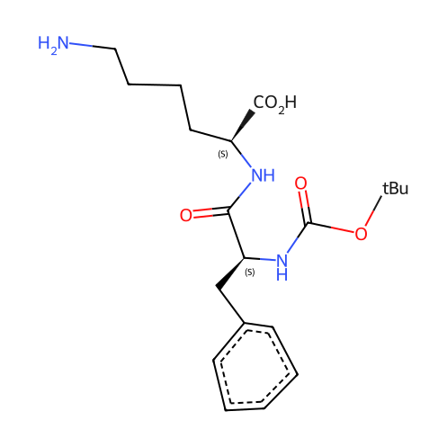 CC(C)(C)OC(=O)N[C@@H](Cc1ccccc1)C(=O)N[C@@H](CCCCN)C(=O)O